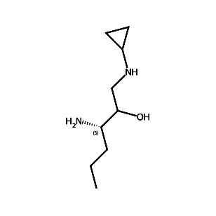 CCC[C@H](N)C(O)CNC1CC1